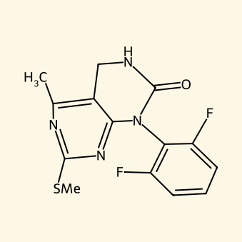 CSc1nc(C)c2c(n1)N(c1c(F)cccc1F)C(=O)NC2